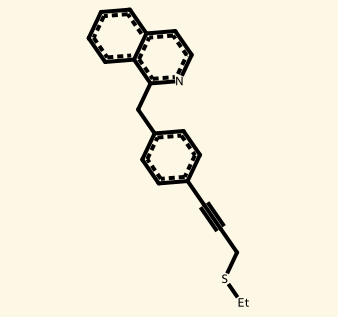 CCSCC#Cc1ccc(Cc2nccc3ccccc23)cc1